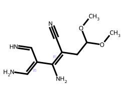 COC(C/C(C#N)=C(N)/C(C=N)=C/N)OC